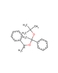 C[SiH](O[Si](C)(O[Si](C)(C)C)c1ccccc1)c1ccccc1